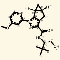 COc1ccnc(-n2nc(C(=O)N[C@H](CO)C(C)(C)C)c3c2[C@@H]2C[C@@H]2C3)c1